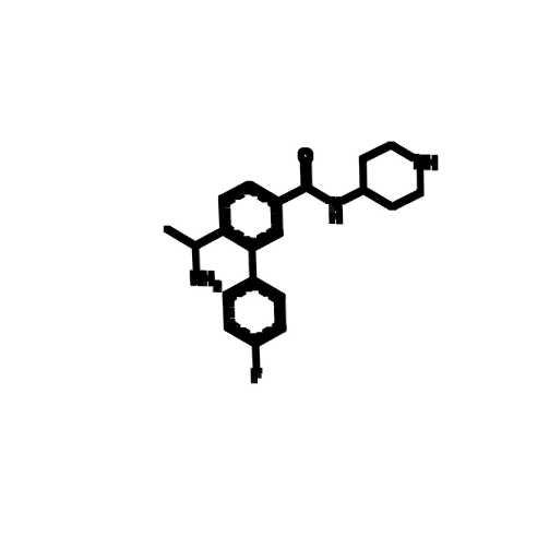 CC(N)c1ccc(C(=O)NC2CCNCC2)cc1-c1ccc(F)cc1